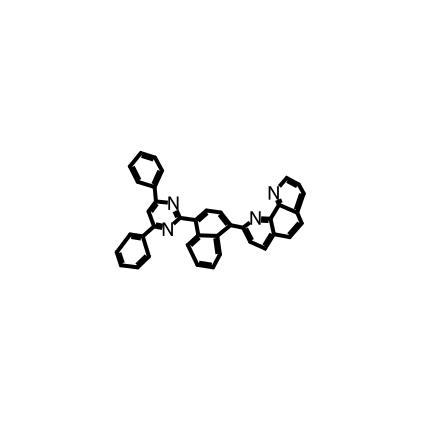 c1ccc(-c2cc(-c3ccccc3)nc(-c3ccc(-c4ccc5ccc6cccnc6c5n4)c4ccccc34)n2)cc1